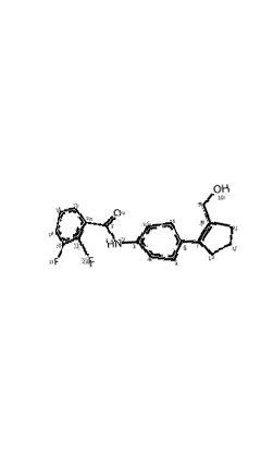 O=C(Nc1ccc(C2=C(CO)CCC2)cc1)c1cccc(F)c1F